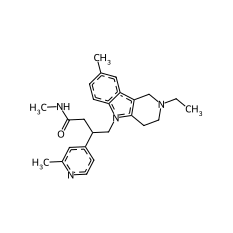 CCN1CCc2c(c3cc(C)ccc3n2CC(CC(=O)NC)c2ccnc(C)c2)C1